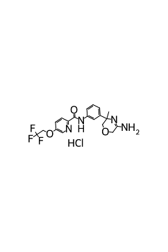 CC1(c2cccc(NC(=O)c3ccc(OCC(F)(F)F)cn3)c2)COCC(N)=N1.Cl